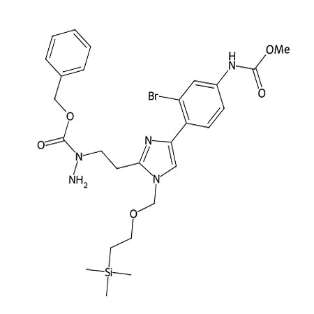 COC(=O)Nc1ccc(-c2cn(COCC[Si](C)(C)C)c(CCN(N)C(=O)OCc3ccccc3)n2)c(Br)c1